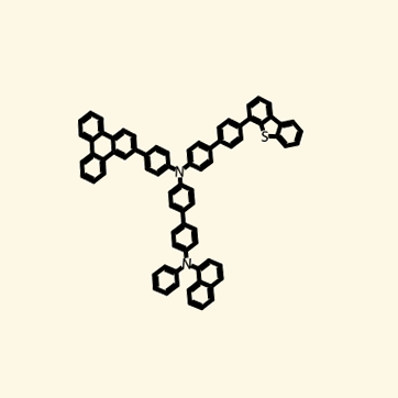 c1ccc(N(c2ccc(-c3ccc(N(c4ccc(-c5ccc(-c6cccc7c6sc6ccccc67)cc5)cc4)c4ccc(-c5ccc6c7ccccc7c7ccccc7c6c5)cc4)cc3)cc2)c2cccc3ccccc23)cc1